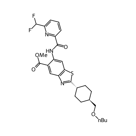 CCCCOC[C@H]1CC[C@H](c2nc3cc(C(=O)OC)c(NC(=O)c4cccc(C(F)F)n4)cc3s2)CC1